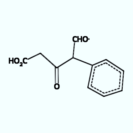 O=[C]C(C(=O)CC(=O)O)c1ccccc1